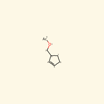 CC(=O)OCC1C=CCC1